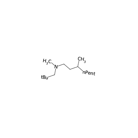 CCCCCC(C)CCN(C)CC(C)(C)C